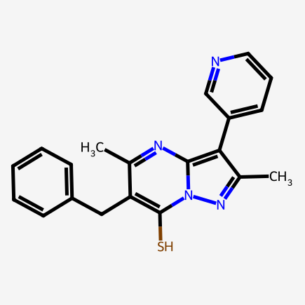 Cc1nc2c(-c3cccnc3)c(C)nn2c(S)c1Cc1ccccc1